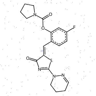 O=C1N=C(N2CCCC=N2)S/C1=C\c1ccc(F)cc1OC(=O)N1CCCC1